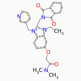 CCn1c(CN2C(=O)c3ccccc3C2=O)[n+](Cc2cccnc2)c2ccc(OCC(=O)N(C)C)cc21